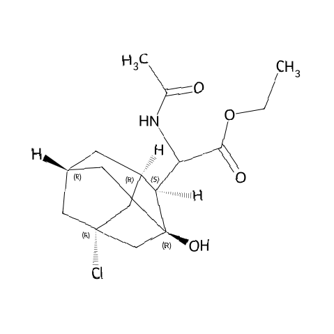 CCOC(=O)C(NC(C)=O)[C@@H]1[C@@H]2C[C@H]3C[C@@](Cl)(C2)C[C@]1(O)C3